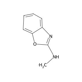 [CH2]Nc1nc2ccccc2o1